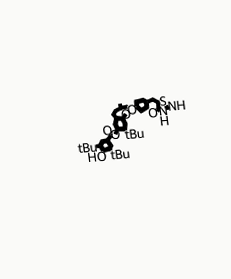 CC1(COc2ccc(CC3SC(=N)NC3=O)cc2)CCc2cc(OC(=O)c3cc(C(C)(C)C)c(O)c(C(C)(C)C)c3)c(C(C)(C)C)cc2O1